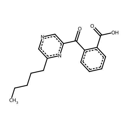 CCCCCc1cncc(C(=O)c2ccccc2C(=O)O)n1